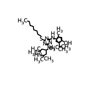 CCCCCCCCSc1nc(Nc2cc(C(C)(C)C)c(O)cc2C)nc(NC2CC(C)(C)NC(C)(C)C2)n1